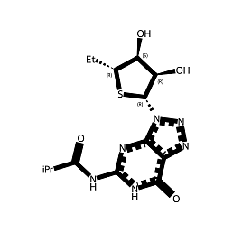 CC[C@H]1S[C@@H](n2nnc3c(=O)[nH]c(NC(=O)C(C)C)nc32)[C@H](O)[C@@H]1O